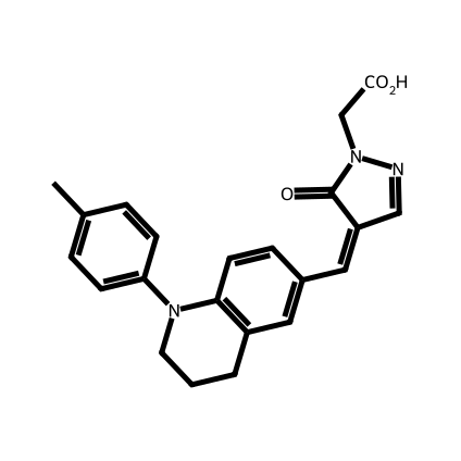 Cc1ccc(N2CCCc3cc(/C=C4/C=NN(CC(=O)O)C4=O)ccc32)cc1